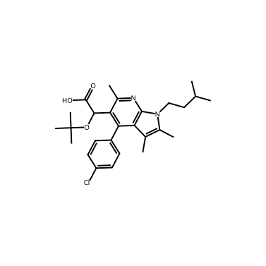 Cc1nc2c(c(C)c(C)n2CCC(C)C)c(-c2ccc(Cl)cc2)c1C(OC(C)(C)C)C(=O)O